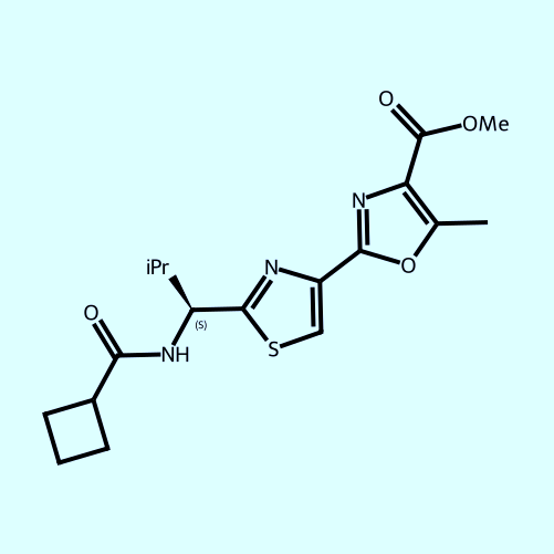 COC(=O)c1nc(-c2csc([C@@H](NC(=O)C3CCC3)C(C)C)n2)oc1C